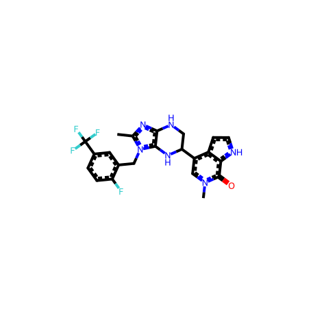 Cc1nc2c(n1Cc1cc(C(F)(F)F)ccc1F)NC(c1cn(C)c(=O)c3[nH]ccc13)CN2